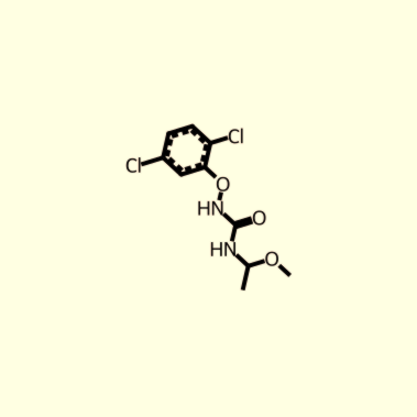 COC(C)NC(=O)NOc1cc(Cl)ccc1Cl